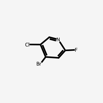 Fc1cc(Br)c(Cl)cn1